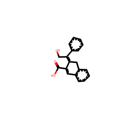 O=C(O)C1=Cc2ccccc2CC1=C(CO)c1ccccc1